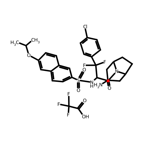 CC(C)Oc1ccc2cc(S(=O)(=O)NC(C(=O)N3C4CCC3CC(N)C4)C(F)(F)c3ccc(Cl)cc3)ccc2c1.O=C(O)C(F)(F)F